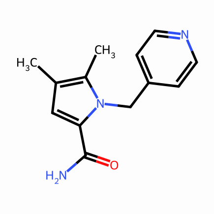 Cc1cc(C(N)=O)n(Cc2ccncc2)c1C